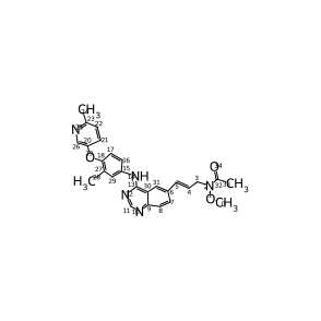 CON(CC=Cc1ccc2ncnc(Nc3ccc(Oc4ccc(C)nc4)c(C)c3)c2c1)C(C)=O